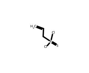 C=CCP(=S)(Cl)Cl